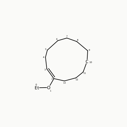 CCOC1=CCCCCCCCCCC1